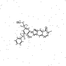 Cn1cnc2cc3nn(-c4cc(C(C)(C)CC(C)(C)C)cc(C(C)(C)c5ccccc5)c4O)nc3cc2c1=O